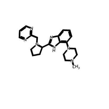 CN1CCN(c2cccc3nc(C4CCCN4Cc4ncccn4)[nH]c23)CC1